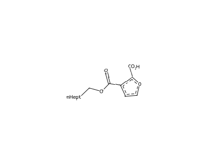 CCCCCCCCOC(=O)c1ccoc1C(=O)O